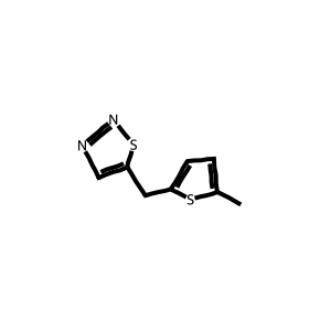 Cc1ccc(Cc2cnns2)s1